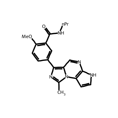 CCCNC(=O)c1cc(-c2nc(C)n3c2cnc2[nH]ccc23)ccc1OC